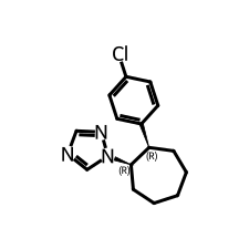 Clc1ccc([C@H]2CCCCC[C@H]2n2cncn2)cc1